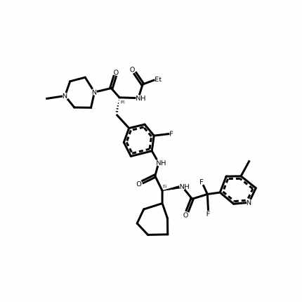 CCC(=O)N[C@H](Cc1ccc(NC(=O)[C@@H](NC(=O)C(F)(F)c2cncc(C)c2)C2CCCCC2)c(F)c1)C(=O)N1CCN(C)CC1